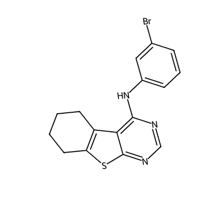 Brc1cccc(Nc2ncnc3sc4c(c23)CCCC4)c1